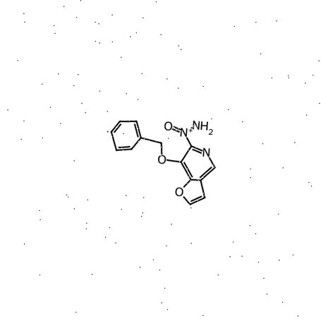 N[N+](=O)c1ncc2ccoc2c1OCc1cc[c]cc1